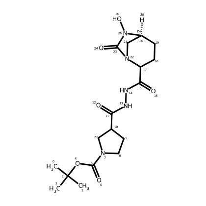 CC(C)(C)OC(=O)N1CCC(C(=O)NNC(=O)C2CC[C@H]3CN2C(=O)N3O)C1